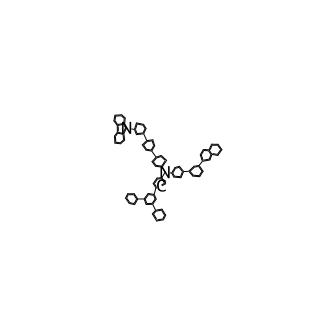 c1ccc(-c2cc(-c3ccccc3)cc(-c3ccc(N(c4ccc(-c5ccc(-c6cccc(-n7c8ccccc8c8ccccc87)c6)cc5)cc4)c4ccc(-c5cccc(-c6ccc7ccccc7c6)c5)cc4)cc3)c2)cc1